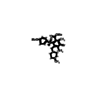 COC(=O)c1c(C)c(Br)c(N)c(CN2CCN(C)CC2)c1S(=O)(=O)c1ccc(OC)cc1